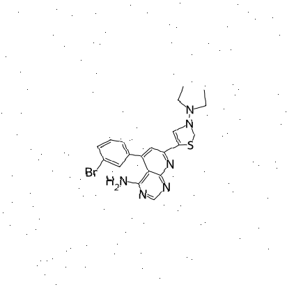 CCN(CC)N1C=C(c2cc(-c3cccc(Br)c3)c3c(N)ncnc3n2)SC1